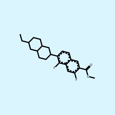 CCC1CCC2CC(c3ccc4cc(C(=O)OC)c(F)cc4c3F)CCC2C1